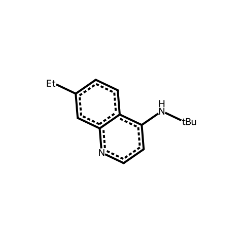 CCc1ccc2c(NC(C)(C)C)ccnc2c1